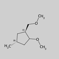 COC[C@@H]1C[C@@H](C)CC1OC